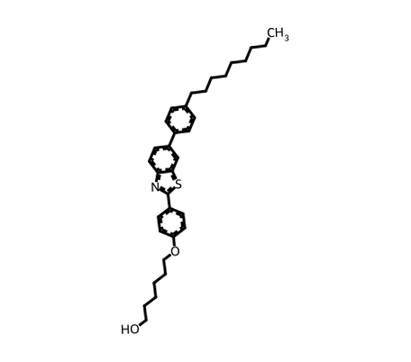 CCCCCCCCCc1ccc(-c2ccc3nc(-c4ccc(OCCCCCCO)cc4)sc3c2)cc1